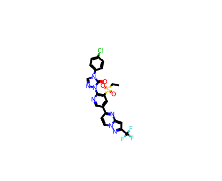 CCS(=O)(=O)c1cc(-c2ccn3nc(C(F)(F)F)cc3n2)cnc1-n1ncn(-c2ccc(Cl)cc2)c1=O